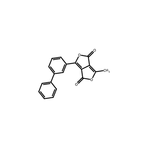 CC1=C2C(=O)OC(c3cccc(-c4ccccc4)c3)=C2C(=O)O1